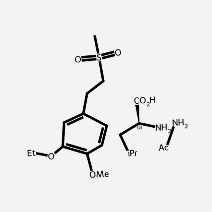 CC(C)C[C@H](N)C(=O)O.CC(N)=O.CCOc1cc(CCS(C)(=O)=O)ccc1OC